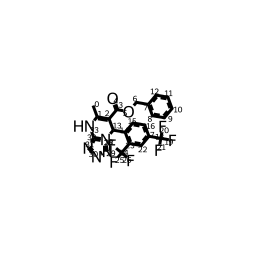 CC1=C(C(=O)OCc2ccccc2)C(c2ccc(C(F)(F)F)cc2C(F)(F)F)n2nnnc2N1